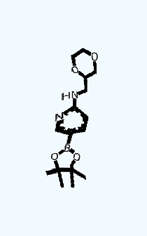 CC1(C)OB(c2ccc(NCC3COCCO3)nc2)OC1(C)C